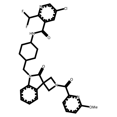 COc1cccc(C(=O)N2CC3(C2)C(=O)N(CC2CCC(NC(=O)c4cc(Cl)cnc4C(F)F)CC2)c2ccccc23)n1